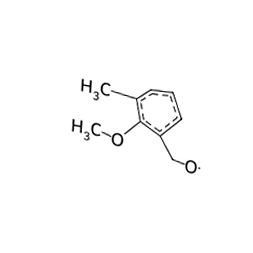 COc1c(C)cccc1C[O]